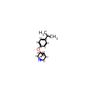 CC(C)c1ccc(OC2CN3CCC2CC3)cc1